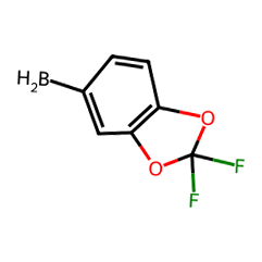 Bc1ccc2c(c1)OC(F)(F)O2